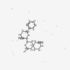 CN1CC(C2CN(c3ccccn3)CCN2)CC2(CCCNC2)C1